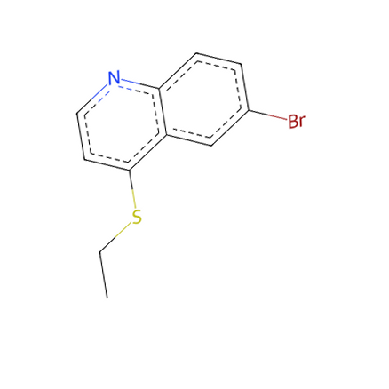 CCSc1ccnc2ccc(Br)cc12